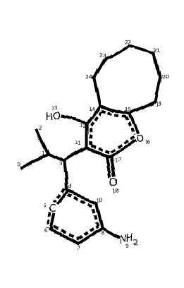 CC(C)C(c1cccc(N)c1)c1c(O)c2c(oc1=O)CCCCCC2